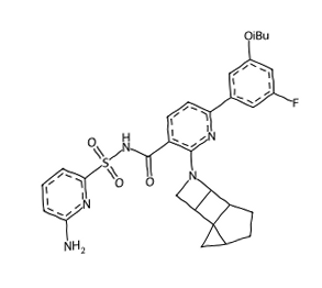 CC(C)COc1cc(F)cc(-c2ccc(C(=O)NS(=O)(=O)c3cccc(N)n3)c(N3CC4C3C3CCC5CC534)n2)c1